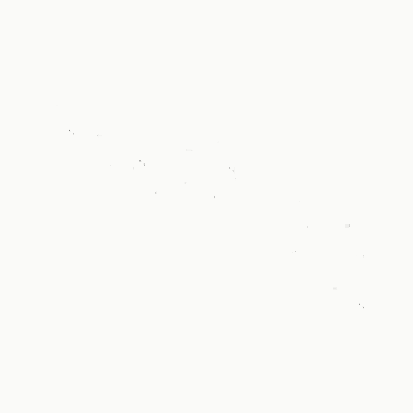 CC(C)NC(=O)CN1CC2CN(CCOc3ccc(C#N)cc3)CC2C1